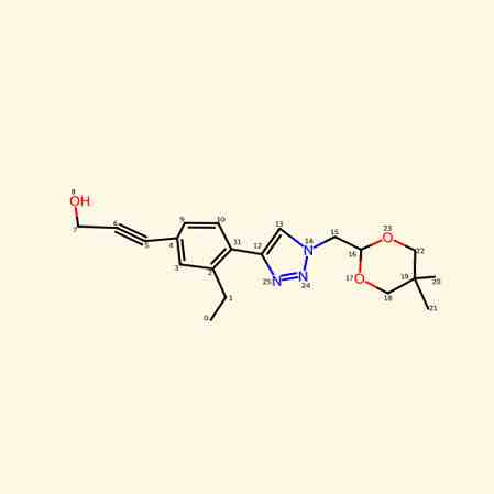 CCc1cc(C#CCO)ccc1-c1cn(CC2OCC(C)(C)CO2)nn1